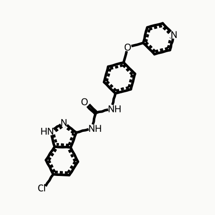 O=C(Nc1ccc(Oc2ccncc2)cc1)Nc1n[nH]c2cc(Cl)ccc12